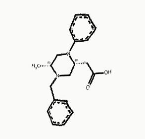 C[C@@H]1CN(c2ccccc2)[C@H](CC(=O)O)CN1Cc1ccccc1